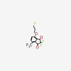 O=C1c2c(OCCCF)ccc(C(F)(F)F)c2C(=O)C1(F)F